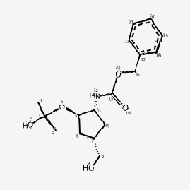 CC(C)(O)O[C@@H]1C[C@@H](CO)C[C@H]1NC(=O)OCc1ccccc1